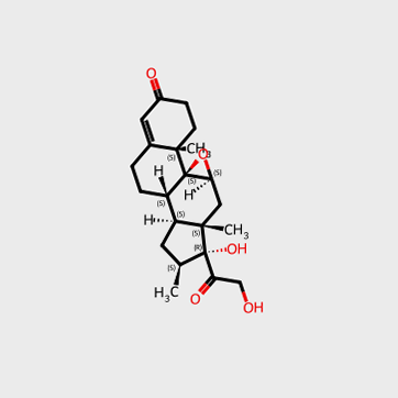 C[C@H]1C[C@H]2[C@@H]3CCC4=CC(=O)CC[C@]4(C)[C@@]34O[C@H]4C[C@]2(C)[C@@]1(O)C(=O)CO